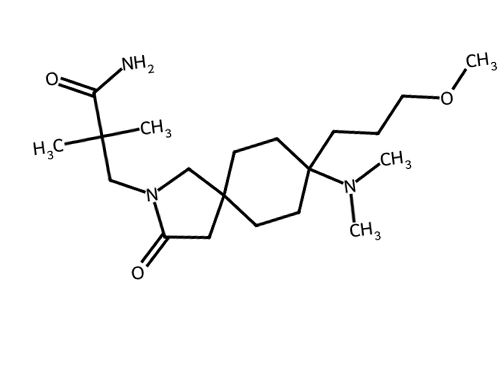 COCCCC1(N(C)C)CCC2(CC1)CC(=O)N(CC(C)(C)C(N)=O)C2